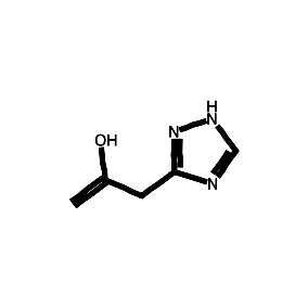 C=C(O)Cc1nc[nH]n1